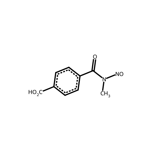 CN(N=O)C(=O)c1ccc(C(=O)O)cc1